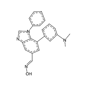 CN(C)c1cccc(-c2cc(C=NO)cc3ncn(-c4ccccc4)c23)c1